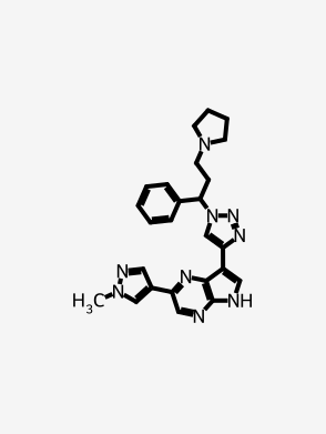 Cn1cc(-c2cnc3[nH]cc(-c4cn(C(CCN5CCCC5)c5ccccc5)nn4)c3n2)cn1